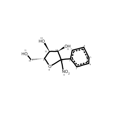 O=[N+]([O-])C1(c2ccccc2)O[C@H](CO)[C@@H](O)[C@H]1O